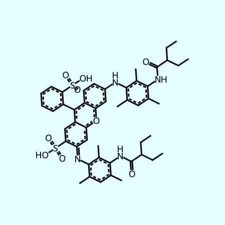 CCC(CC)C(=O)Nc1c(C)cc(C)c(/N=c2\cc3oc4cc(Nc5c(C)cc(C)c(NC(=O)C(CC)CC)c5C)ccc4c(-c4ccccc4S(=O)(=O)O)c-3cc2S(=O)(=O)O)c1C